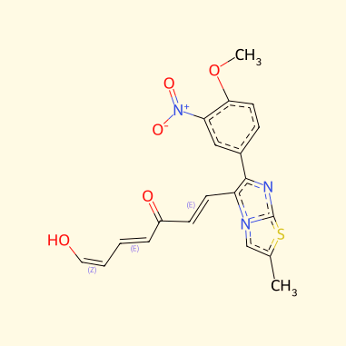 COc1ccc(-c2nc3sc(C)cn3c2/C=C/C(=O)/C=C/C=C\O)cc1[N+](=O)[O-]